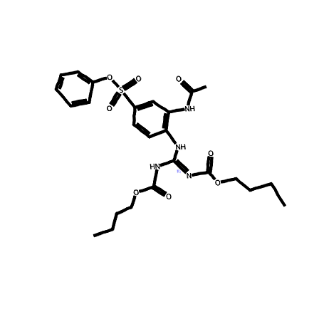 CCCCOC(=O)/N=C(/NC(=O)OCCCC)Nc1ccc(S(=O)(=O)Oc2ccccc2)cc1NC(C)=O